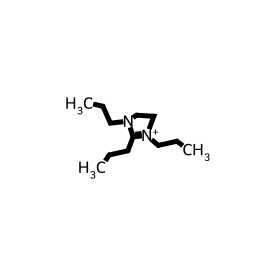 CCCC1=[N+](CCC)CCN1CCC